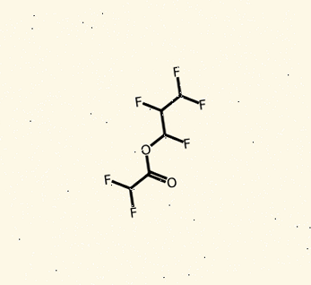 O=C(OC(F)C(F)C(F)F)C(F)F